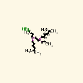 Br.Br.CCCP(CCCCC(C)C)CCP(CCC)CCCCC(C)C